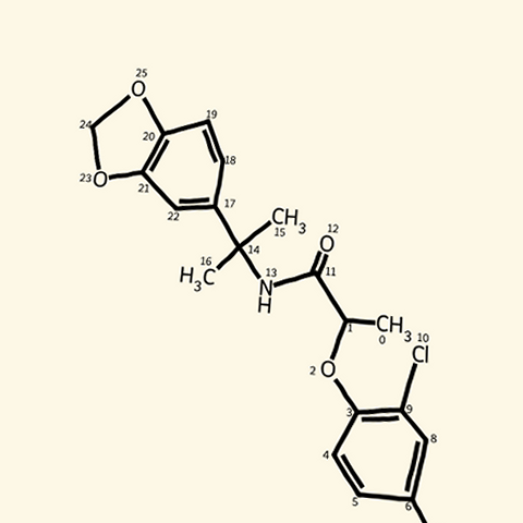 CC(Oc1ccc(Cl)cc1Cl)C(=O)NC(C)(C)c1ccc2c(c1)OCO2